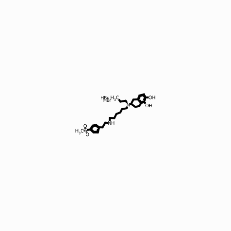 Br.Br.CCCN(CCCCCCNCCc1ccc(S(C)(=O)=O)cc1)C1CCc2c(ccc(O)c2O)C1